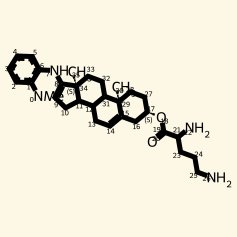 CNc1ccccc1NC1=CCC2C3CC=C4C[C@@H](OC(=O)C(N)CCCN)CC[C@]4(C)C3CC[C@]12C